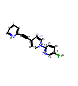 C=C(C#Cc1ccccn1)/C=C\N(C)c1ccc(F)cn1